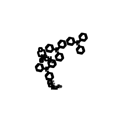 C[N+]1([O-])CCOCC1.[Cl-].[Cl-].[Ru+2].c1ccc(P(c2ccccc2)c2ccccc2)cc1.c1ccc(P(c2ccccc2)c2ccccc2)cc1.c1ccc(P(c2ccccc2)c2ccccc2)cc1